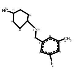 Cc1cc(F)cc(CNC2CCC(O)CC2)c1